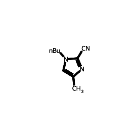 CCCCn1cc(C)nc1C#N